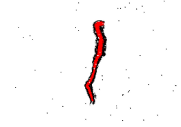 CC(C)(C)OC(=O)C(C)(C)COCCOCCOCCOCCOCCOCCOCCOCCOCCOCCOCCOCCOCCOCCOCCOCCOCCOCCOCCOCCN=[N+]=[N-]